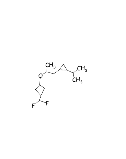 CC(CC1CC1C(C)C)OC1CC(C(F)F)C1